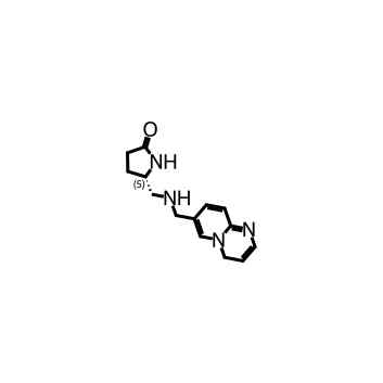 O=C1CC[C@@H](CNCC2=CN3CC=CN=C3C=C2)N1